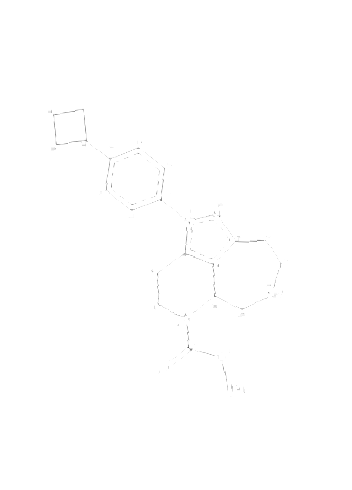 CC(C)(C)OC(=O)N1CCc2c3c(nn2-c2ccc(C4CCC4)cc2)CCNCC31